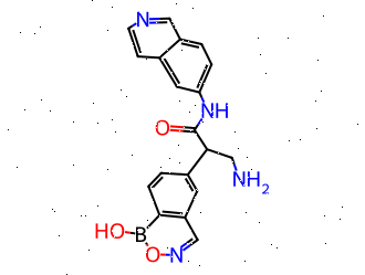 NCC(C(=O)Nc1ccc2cnccc2c1)c1ccc2c(c1)C=NOB2O